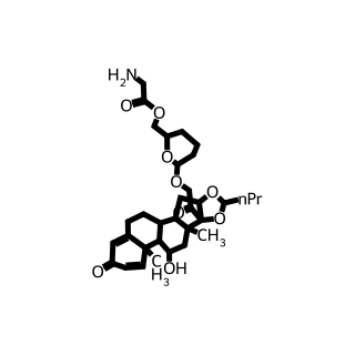 CCCC1OC2CC3C4CCC5=CC(=O)C=CC5(C)C4C(O)CC3(C)C2(C(=O)COC2CCCC(COC(=O)CN)O2)O1